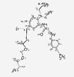 CC[C@@H](CC(=O)OCOC(=O)CC(C)C)c1ccc(N(CC(C)C)CC(C)C)c(NC(=O)Nc2ccc(C)cc2)c1